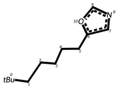 CC(C)(C)CCCCCc1cnco1